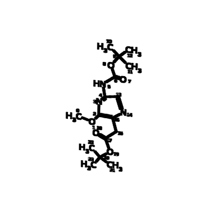 COc1nc(NC(=O)OC(C)(C)C)cnc1CC(=O)OC(C)(C)C